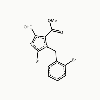 COC(=O)c1c(C=O)nc(Br)n1Cc1ccccc1Br